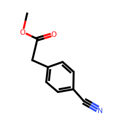 COC(=O)Cc1ccc(C#N)cc1